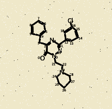 O=c1c(Cc2ccccc2)nc(-c2cccc(Cl)c2)nn1CCN1CCCCC1